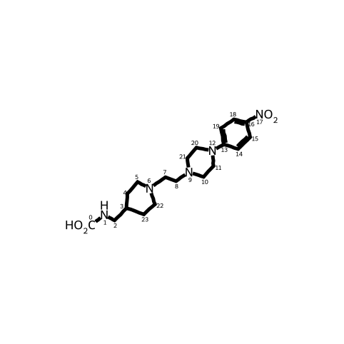 O=C(O)NCC1CCN(CCN2CCN(c3ccc([N+](=O)[O-])cc3)CC2)CC1